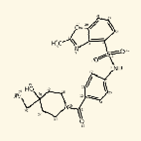 Cc1nc2c(S(=O)(=O)Nc3ccc(C(=O)N4CCC(O)(CC(C)C)CC4)cc3)cccc2o1